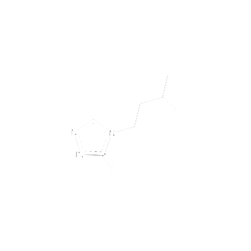 CC(C)CCn1cn[nH]c1=O